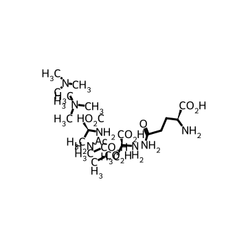 CC(=O)O.CC(=O)O.CC(N)=O.CN(C)C.CN(C)C.C[C@H](N)C(=O)O.C[C@H](N)C(=O)O.NC(=O)CC[C@H](N)C(=O)O